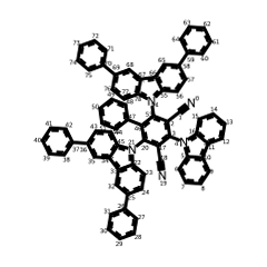 N#Cc1c(-n2c3ccccc3c3ccccc32)c(C#N)c(-n2c3ccc(-c4ccccc4)cc3c3cc(-c4ccccc4)ccc32)c(-c2ccccc2)c1-n1c2ccc(-c3ccccc3)cc2c2cc(-c3ccccc3)ccc21